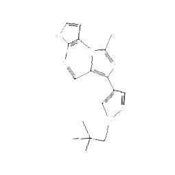 Cc1nc(-c2cnn(CC(C)(C)O)c2)c2cnc3[nH]ccc3n12